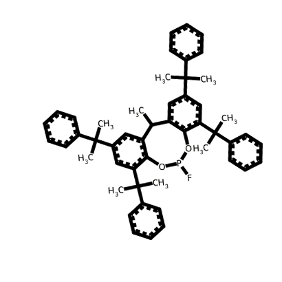 CC1c2cc(C(C)(C)c3ccccc3)cc(C(C)(C)c3ccccc3)c2OP(F)Oc2c1cc(C(C)(C)c1ccccc1)cc2C(C)(C)c1ccccc1